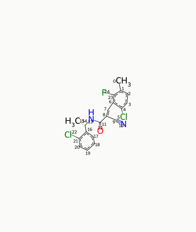 Cc1ccc(Cl)c(/C=C(\C#N)C(=O)N[C@@H](C)c2ccccc2Cl)c1F